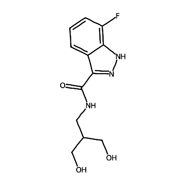 O=C(NCC(CO)CO)c1n[nH]c2c(F)cccc12